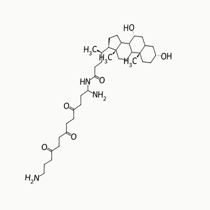 C[C@H](CCC(=O)NC(N)CCC(=O)CCC(=O)CCC(=O)CCCN)[C@H]1CCC2C3C(CC[C@@]21C)[C@@]1(C)CC[C@@H](O)CC1C[C@H]3O